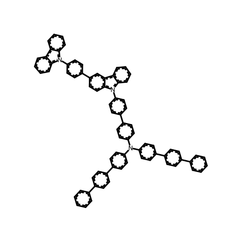 c1ccc(-c2ccc(-c3ccc(N(c4ccc(-c5ccc(-c6ccccc6)cc5)cc4)c4ccc(-c5ccc(-n6c7ccccc7c7cc(-c8ccc(-n9c%10ccccc%10c%10ccccc%109)cc8)ccc76)cc5)cc4)cc3)cc2)cc1